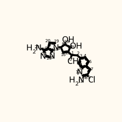 CC(Cc1ccc2cc(Cl)c(N)nc2c1)C1=CC(n2ccc3c(N)ncnc32)[C@@H](O)C1O